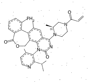 C=CC(=O)N1CCN(c2nc(=O)n(-c3c(C)ccnc3C(C)C)c3c4c(c(C)cc23)-c2c(P)cccc2C(=O)OC4)[C@@H](C)C1